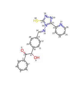 O=C(c1ccccc1)C(O)c1ccc(C=Nn2c(S)nnc2-c2ccccn2)cc1